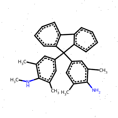 CNc1c(C)cc(C2(c3cc(C)c(N)c(C)c3)c3ccccc3-c3ccccc32)cc1C